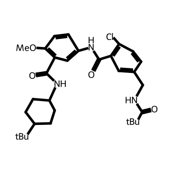 COc1ccc(NC(=O)c2cc(CNC(=O)C(C)(C)C)ccc2Cl)cc1C(=O)NC1CCC(C(C)(C)C)CC1